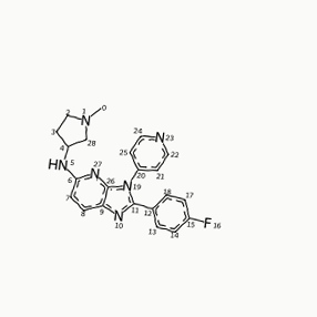 CN1CCC(Nc2ccc3nc(-c4ccc(F)cc4)n(-c4ccncc4)c3n2)C1